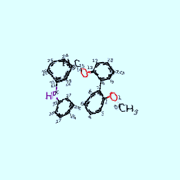 COc1ccccc1-c1ccccc1OC.c1ccc(Pc2ccccc2)cc1